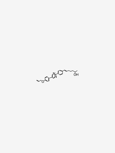 C=CCOc1ccc(-c2cnc(-c3ccc(C=CCCCC(C)O)cc3)nc2)cc1